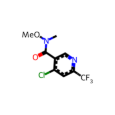 CON(C)C(=O)c1cnc(C(F)(F)F)cc1Cl